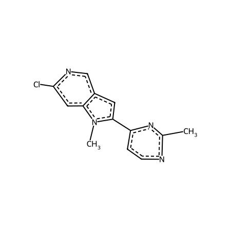 Cc1nccc(-c2cc3cnc(Cl)cc3n2C)n1